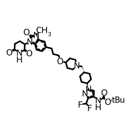 Cn1c(=O)n(C2CCC(=O)NC2=O)c2ccc(CCCOC3CCN(C[C@H]4CC[C@H](n5cc(NC(=O)OC(C)(C)C)c(C(F)F)n5)CC4)CC3)cc21